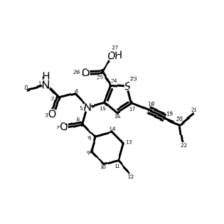 CNC(=O)CN(C(=O)C1CCC(C)CC1)c1cc(C#CC(C)C)sc1C(=O)O